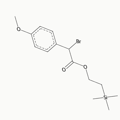 COc1ccc(C(Br)C(=O)OCC[Si](C)(C)C)cc1